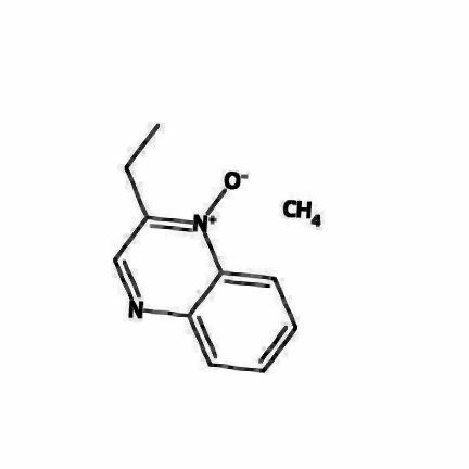 C.CCc1cnc2ccccc2[n+]1[O-]